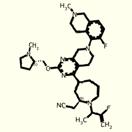 C=C(F)C(C)N1CCCC(c2nc(OC[C@@H]3CCCN3C)nc3c2CCN(c2c(F)ccc4c2CCN(C)C4)C3)C[C@@H]1CC#N